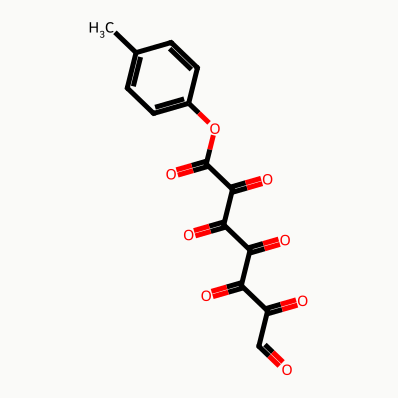 Cc1ccc(OC(=O)C(=O)C(=O)C(=O)C(=O)C(=O)C=O)cc1